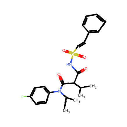 CC(C)C(C(=O)NS(=O)(=O)C=Cc1ccccc1)C(=O)N(c1ccc(F)cc1)C(C)C